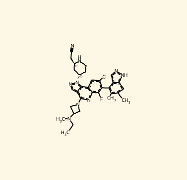 CCN(C)C1CN(c2nc3c(F)c(-c4c(C)c(C)cc5[nH]ncc45)c(Cl)cc3c3c2cnn3[C@H]2CCN[C@H](CC#N)C2)C1